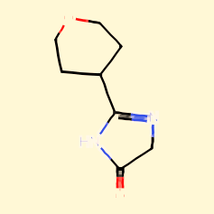 O=C1CN=C(C2CCOCC2)N1